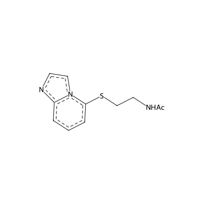 CC(=O)NCCSc1cccc2nccn12